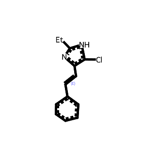 CCc1nc(/C=C/c2ccccc2)c(Cl)[nH]1